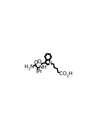 CC(C)C(NC(=O)c1cn(CCCCC(=O)O)c2ccccc12)C(N)=O